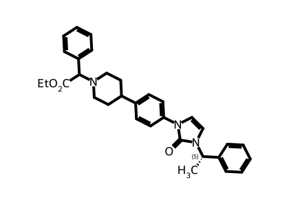 CCOC(=O)C(c1ccccc1)N1CCC(c2ccc(-n3ccn([C@@H](C)c4ccccc4)c3=O)cc2)CC1